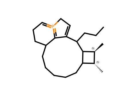 CCCC1C2=CCP3=CCCC(CCCCCC4C1[C@@H](C)[C@@H]4C)C=32